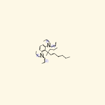 C/C=C\N(/C=C\C)c1cccc(N(/C=C\C)/C=C\C)c1C(C)(CCC)CCCCCC